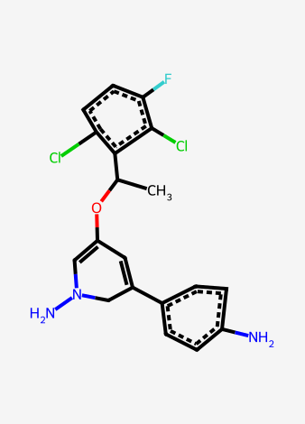 CC(OC1=CN(N)CC(c2ccc(N)cc2)=C1)c1c(Cl)ccc(F)c1Cl